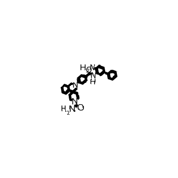 NC(=O)N1CCC2(CC1)CN(c1ccc(C(=O)Nc3cc(-c4ccccc4)ccc3N)cc1)Cc1ccccc12